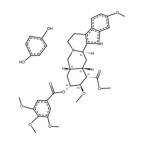 COC(=O)[C@H]1[C@H]2C[C@@H]3c4[nH]c5cc(OC)ccc5c4CCN3C[C@H]2C[C@@H](OC(=O)c2cc(OC)c(OC)c(OC)c2)[C@@H]1OC.Oc1ccc(O)cc1